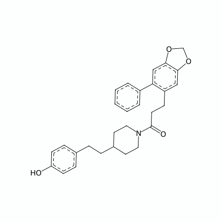 O=C(CCc1cc2c(cc1-c1ccccc1)OCO2)N1CCC(CCc2ccc(O)cc2)CC1